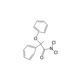 CC(Oc1ccccc1)(C(=O)N(Cl)Cl)c1ccccc1